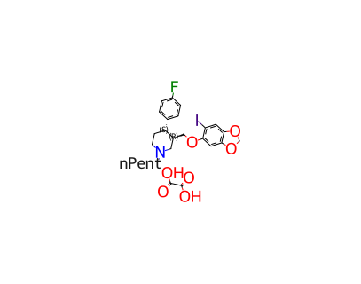 CCCCCN1CC[C@H](c2ccc(F)cc2)[C@@H](COc2cc3c(cc2I)OCO3)C1.O=C(O)C(=O)O